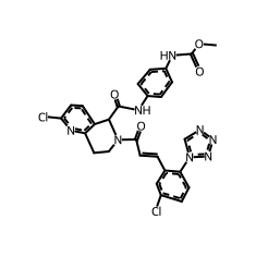 COC(=O)Nc1ccc(NC(=O)C2c3ccc(Cl)nc3CCN2C(=O)/C=C/c2cc(Cl)ccc2-n2cnnn2)cc1